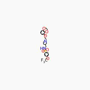 O=S(=O)(NCC1CCN(CCOc2cccc3c2OCCO3)C1)c1ccc(OC(F)(F)F)cc1